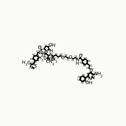 Cc1ncsc1-c1ccc(CNC(=O)[C@@H]2C[C@@H](O)CN2C(=O)[C@@H](NC(=O)CCCOCCOCCNC(=O)c2ccc(CCOc3cc(-c4ccccc4O)nnc3N)cc2)C(C)(C)C)cc1